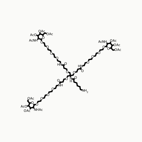 CC(=O)NC1C(OCCOCCOCCOCCNC(=O)CCOCC(COCCC(=O)NCCOCCOCCOCCOC2OC(COC(C)=O)C(OC(C)=O)C(OC(C)=O)C2NC(C)=O)(COCCC(=O)NCCOCCOCCOCCOC2OC(COC(C)=O)C(OC(C)=O)C(OC(C)=O)C2NC(C)=O)NC(=O)CCCCCN)OC(COC(C)=O)C(OC(C)=O)C1OC(C)=O